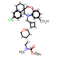 CN(CC[C@@H]1CCO[C@H](C2CCC2CN2CC3(CCCc4cc(Cl)ccc43)COc3ccc(C(=O)O)cc32)C1)C(=O)OC(C)(C)C